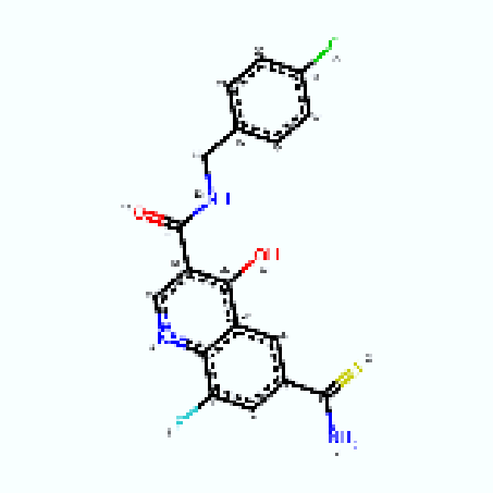 NC(=S)c1cc(F)c2ncc(C(=O)NCc3ccc(Cl)cc3)c(O)c2c1